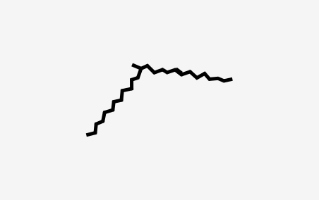 CCCCCCCC=CCCCCC(C)CCCCCCCCCCCC